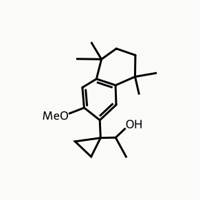 COc1cc2c(cc1C1(C(C)O)CC1)C(C)(C)CCC2(C)C